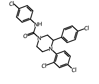 O=C(Nc1ccc(Cl)cc1)N1CCN(c2ccc(Cl)cc2Cl)C(c2ccc(Cl)cc2)C1